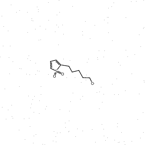 [O]CCCCCC1=CC=CS1(=O)=O